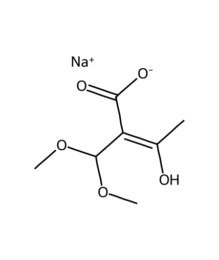 COC(OC)C(C(=O)[O-])=C(C)O.[Na+]